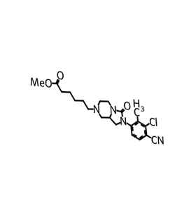 COC(=O)CCCCCN1CCN2C(=O)N(c3ccc(C#N)c(Cl)c3C)CC2C1